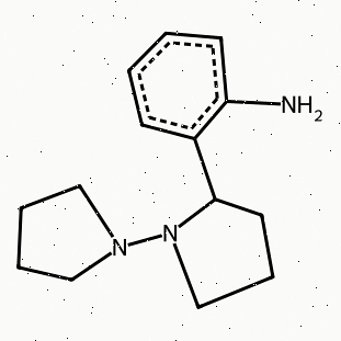 Nc1ccccc1C1CCCN1N1CCCC1